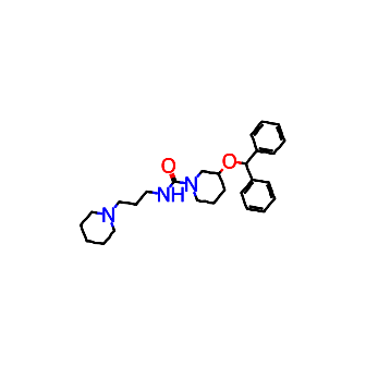 O=C(NCCCN1CCCCC1)N1CCCC(OC(c2ccccc2)c2ccccc2)C1